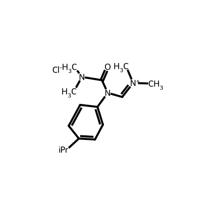 CC(C)c1ccc(N(C=[N+](C)C)C(=O)N(C)C)cc1.[Cl-]